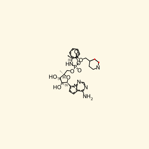 C[C@H](NP(=O)(OC[C@@]1(C)O[C@@H](c2ccc3c(N)ncnn23)[C@H](O)[C@@H]1O)Oc1ccccc1)C(=O)OCC12CCN(CC1)CC2